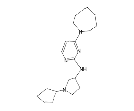 c1cc(N2CCCCCC2)nc(NC2CCN(C3CCCC3)C2)n1